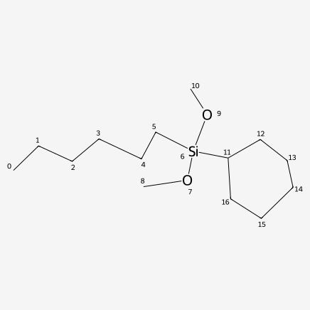 CCCCCC[Si](OC)(OC)C1CCCCC1